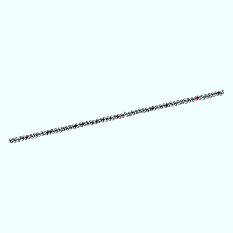 S=S=S=S=S=S=S=S=S=S=S=S=S=S=S=S=S=S=S=S=S=S=S=S=S=S=S=S=S=S=S=S=S=S=S=S=S=S=S=S=S=S=S=S=S=S=S=S=S=S=S=S=S=S=S=S=S=S=S=S=S=S=S=S=S=S=S=S=S=S=S=S=S=S=S=S=S=S=S=S=S=S=S=S=S=S=S=S=S=S=S=S=S=S=S=S=S=S=S=S=S=S=S=S=S=S=S=S=S=S=S=S=S=S=S=S=S=S=S=S=S=S=S